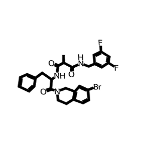 CC(C(=O)NCc1cc(F)cc(F)c1)C(=O)NC(Cc1ccccc1)C(=O)N1CCc2ccc(Br)cc2C1